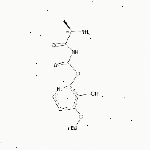 CCCCOc1ccnc(OC(=O)NC(=O)[C@@H](C)N)c1O